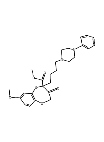 COC(=O)C1(CCCCN2CCN(c3ccccc3)CC2)Sc2cc(OC)ccc2OCC1=O